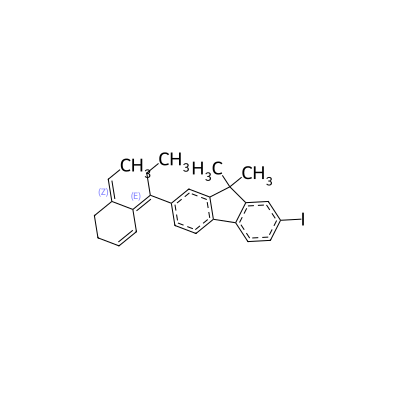 C/C=C1/CCC=C/C1=C(/CC)c1ccc2c(c1)C(C)(C)c1cc(I)ccc1-2